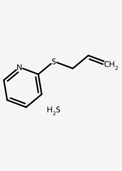 C=CCSc1ccccn1.S